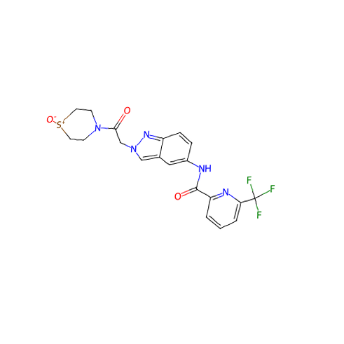 O=C(Nc1ccc2nn(CC(=O)N3CC[S+]([O-])CC3)cc2c1)c1cccc(C(F)(F)F)n1